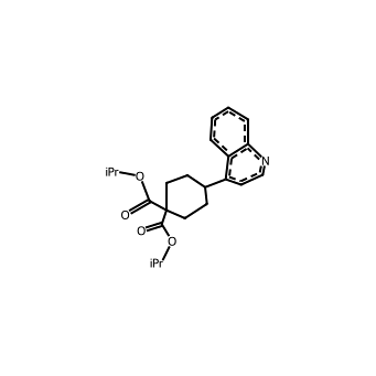 CC(C)OC(=O)C1(C(=O)OC(C)C)CCC(c2ccnc3ccccc23)CC1